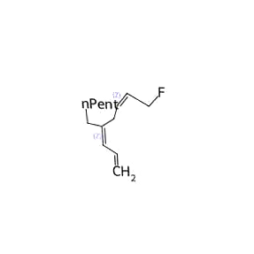 C=C/C=C(\C/C=C\CF)CCCCCC